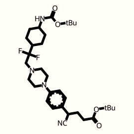 CC(C)(C)OC(=O)CCC(C#N)c1ccc(N2CCN(CC(F)(F)C3CCC(NC(=O)OC(C)(C)C)CC3)CC2)cc1